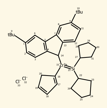 CC(C)(C)c1ccc2c(c1)-c1cc(C(C)(C)C)ccc1[CH]2[Zr+2]([C]1=CC=CC1)=[Si](C1CCCC1)C1CCCC1.[Cl-].[Cl-]